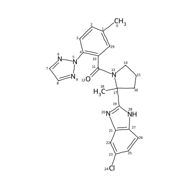 Cc1ccc(-n2nccn2)c(C(=O)N2CCCC2(C)c2nc3cc(Cl)ccc3[nH]2)c1